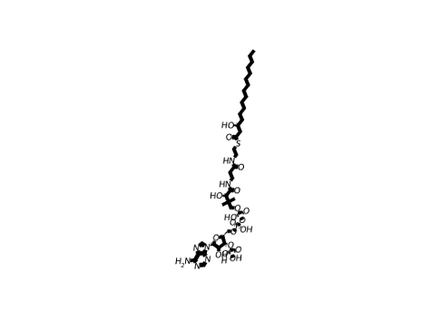 CCCCCCCCCCCCC[C@H](O)CC(=O)SCCNC(=O)CCNC(=O)[C@H](O)C(C)(C)COP(=O)(O)OP(=O)(O)OC[C@H]1O[C@@H](n2cnc3c(N)ncnc32)C(O)[C@H]1OP(=O)(O)O